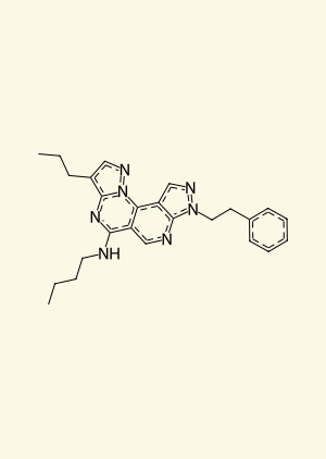 CCCCNc1nc2c(CCC)cnn2c2c1cnc1c2cnn1CCc1ccccc1